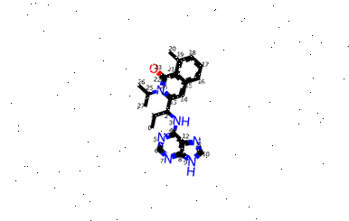 CCC(Nc1ncnc2[nH]cnc12)c1cc2cccc(C)c2c(=O)n1C(C)C